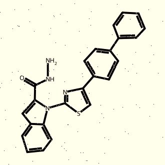 NNC(=O)c1cc2ccccc2n1-c1nc(-c2ccc(-c3ccccc3)cc2)cs1